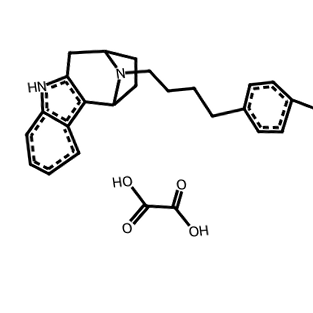 Fc1ccc(CCCCN2C3CCC2c2c([nH]c4ccccc24)C3)cc1.O=C(O)C(=O)O